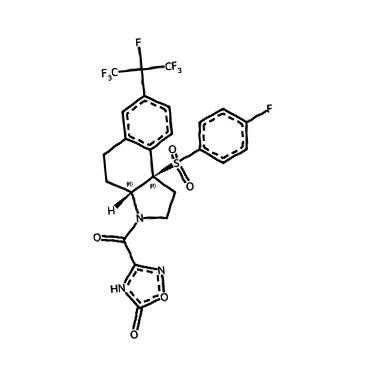 O=C(c1noc(=O)[nH]1)N1CC[C@@]2(S(=O)(=O)c3ccc(F)cc3)c3ccc(C(F)(C(F)(F)F)C(F)(F)F)cc3CC[C@@H]12